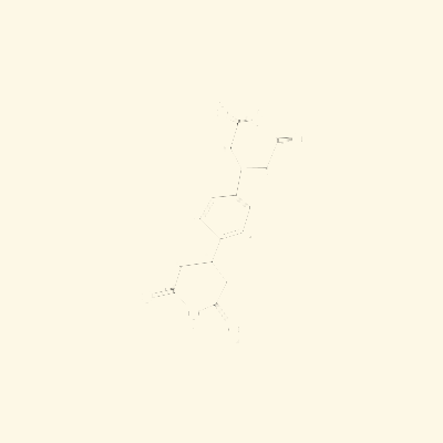 O=C1CC(c2ccc(C3CC(=O)OC(=O)C3)cc2)CC(=O)O1